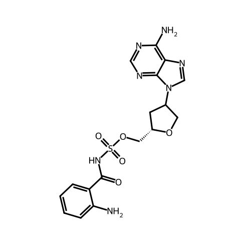 Nc1ccccc1C(=O)NS(=O)(=O)OC[C@@H]1CC(n2cnc3c(N)ncnc32)CO1